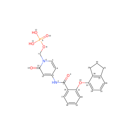 O=C(Nc1ccn(COP(=O)(O)O)c(=O)c1)c1ccccc1Oc1cccc2c1CCC2